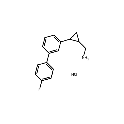 Cl.NCC1CC1c1cccc(-c2ccc(F)cc2)c1